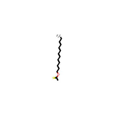 CC(=S)OCCCCCCCCCCCCC(F)(F)F